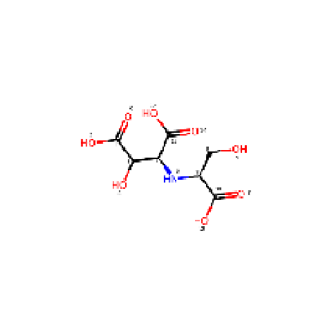 O=C(O)C(O)[C@H](N[C@@H](CO)C(=O)O)C(=O)O